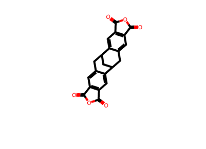 O=C1OC(=O)c2cc3c(cc21)CC1CC3Cc2cc3c(cc21)C(=O)OC3=O